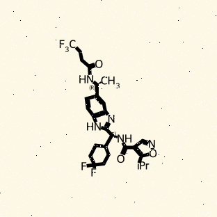 CC(C)c1oncc1C(=O)N[C@H](c1nc2cc([C@@H](C)NC(=O)CCC(F)(F)F)ccc2[nH]1)C1CCC(F)(F)CC1